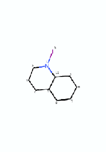 IN1CCCC2CCCCC21